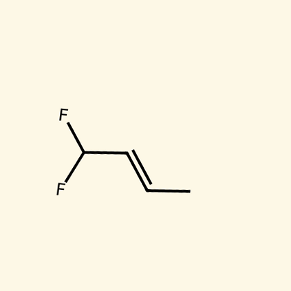 CC=CC(F)F